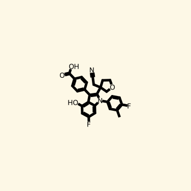 Cc1cc(-n2c(C3(CC#N)CCOC3)c(-c3ccc(C(=O)O)cc3)c3c(O)cc(F)cc32)ccc1F